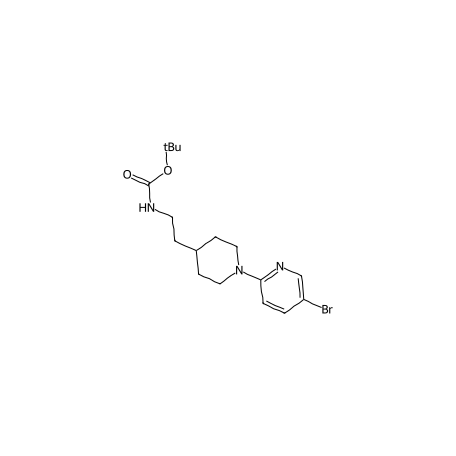 CC(C)(C)OC(=O)NCCC1CCN(c2ccc(Br)cn2)CC1